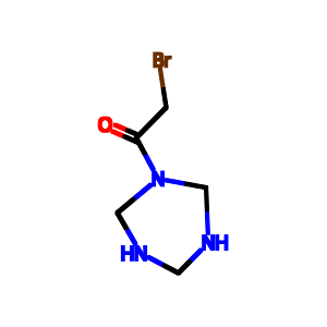 O=C(CBr)N1CNCNC1